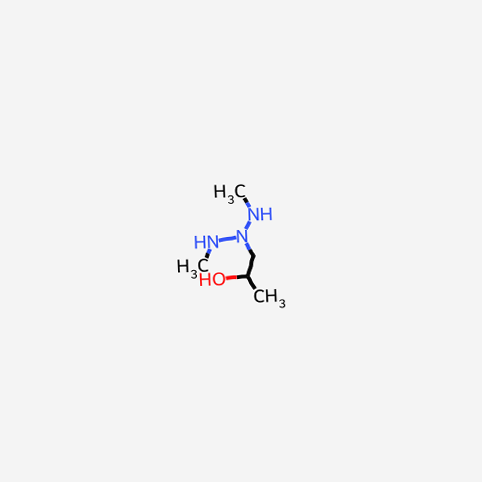 CNN(CC(C)O)NC